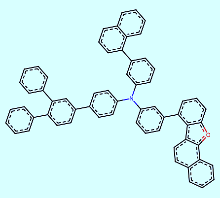 c1ccc(-c2ccc(-c3ccc(N(c4cccc(-c5cccc6ccccc56)c4)c4cccc(-c5cccc6oc7c8ccccc8ccc7c56)c4)cc3)cc2-c2ccccc2)cc1